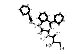 CN(C(=O)C(N)CS)C1N=C(c2ccccc2)c2ccccc2N(C[N+]#Cc2ccccc2)C1=O